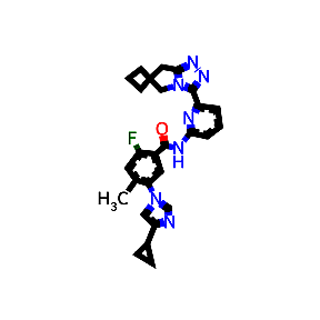 Cc1cc(F)c(C(=O)Nc2cccc(-c3nnc4n3CC3(CCC3)C4)n2)cc1-n1cnc(C2CC2)c1